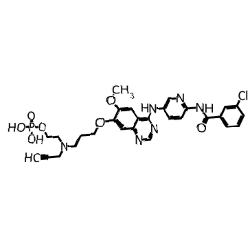 C#CCN(CCCOc1cc2ncnc(Nc3ccc(NC(=O)c4cccc(Cl)c4)nc3)c2cc1OC)CCOP(=O)(O)O